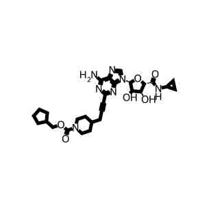 Nc1nc(C#CCC2CCN(C(=O)OCC3CCCC3)CC2)nc2c1ncn2[C@@H]1O[C@H](C(=O)NC2CC2)[C@H](O)C1O